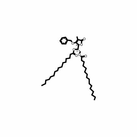 CCCCCCCCCCCCCCCC(=O)OC[C@H](OC(=O)CCCCCCCCCCCCCCC)[C@H]1OC(=O)C(C)=C1OCc1ccccc1